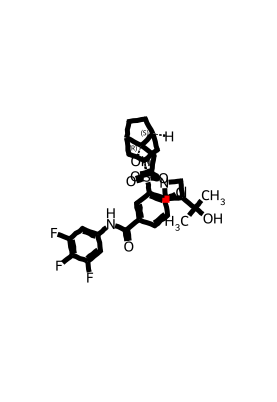 CC(C)(O)C1CN(C(=O)C[C@@]2(O)C3CC[C@H]2C[C@H](S(=O)(=O)c2cc(C(=O)Nc4cc(F)c(F)c(F)c4)ccc2Cl)C3)C1